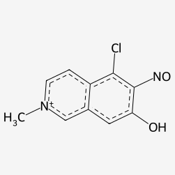 C[n+]1ccc2c(Cl)c(N=O)c(O)cc2c1